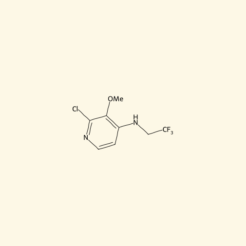 COc1c(NCC(F)(F)F)ccnc1Cl